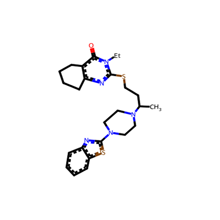 CCn1c(SCCC(C)N2CCN(c3nc4ccccc4s3)CC2)nc2c(c1=O)CCCC2